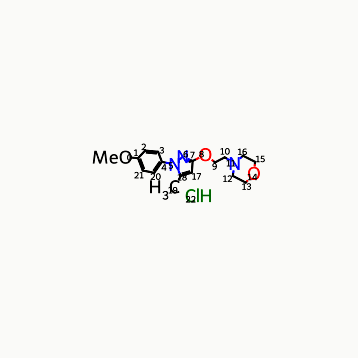 COc1ccc(-n2nc(OCCN3CCOCC3)cc2C)cc1.Cl